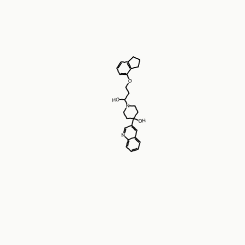 OC(CCOc1cccc2c1CCC2)N1CCC(O)(c2cnc3ccccc3c2)CC1